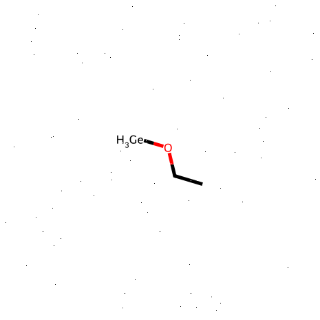 CC[O][GeH3]